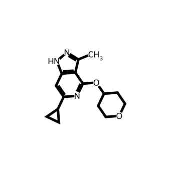 Cc1n[nH]c2cc(C3CC3)nc(OC3CCOCC3)c12